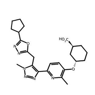 Cc1nc(-c2nnn(C)c2Cc2nnc(C3CCCC3)o2)ccc1O[C@H]1CCC[C@H](C(=O)O)C1